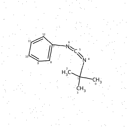 CC(C)(C)N=C=Nc1ccccc1